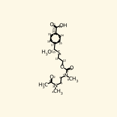 CC(=O)N(C)CCN(C)C(=O)OCCS[C@H](C)c1ccc(C(=O)O)cc1